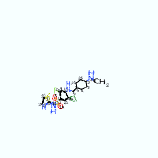 CNC1CCC(CNc2cc(F)c(S(=O)(=O)Nc3nccs3)cc2Cl)CC1